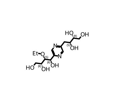 CCO[C@H]([C@H](O)CO)[C@H](O)c1cnc(C[C@H](O)[C@H](O)CO)cn1